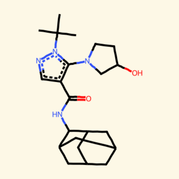 CC(C)(C)n1ncc(C(=O)NC2C3CC4CC(C3)CC2C4)c1N1CCC(O)C1